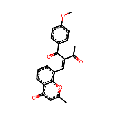 COc1ccc(C(=O)/C(=C\c2cccc3c(=O)cc(C)oc23)C(C)=O)cc1